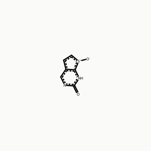 O=c1ncc2cc[s+]([O-])c2[nH]1